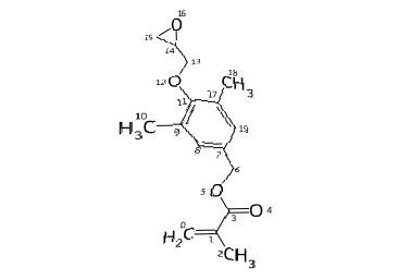 C=C(C)C(=O)OCc1cc(C)c(OCC2CO2)c(C)c1